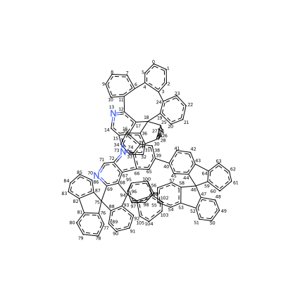 c1ccc2c(c1)-c1ccccc1-c1ncc3c(c1C1(c4ccccc4-2)c2ccccc2-c2ccccc21)c1cc(-c2ccc4c(c2)C2(c5ccccc5-c5ccccc52)c2ccccc2-4)cc2c4c5c(ncc4n3c12)C1(c2ccccc2-c2ccccc21)c1ccccc1C51c2ccccc2-c2ccccc21